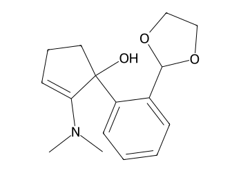 CN(C)C1=CCCC1(O)c1ccccc1C1OCCO1